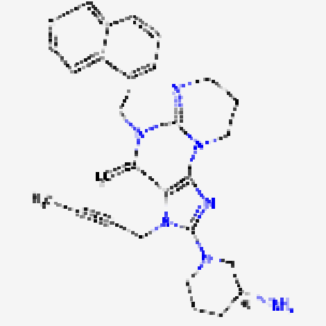 C=C1c2c(nc(N3CCC[C@@H](N)C3)n2CC#CC)N2CCCN=C2N1Cc1cccc2ccccc12